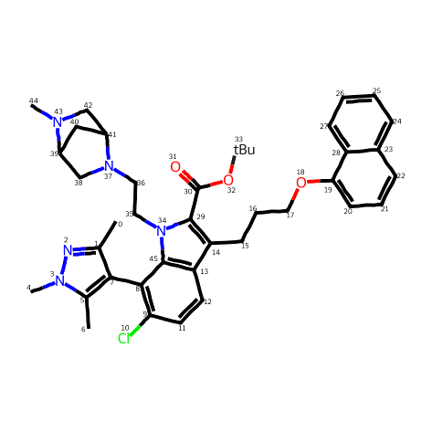 Cc1nn(C)c(C)c1-c1c(Cl)ccc2c(CCCOc3cccc4ccccc34)c(C(=O)OC(C)(C)C)n(CCN3CC4CC3CN4C)c12